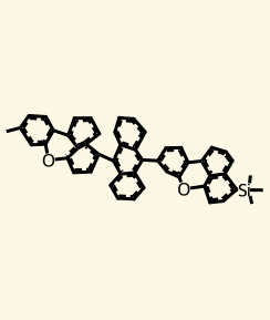 Cc1ccc2c(c1)Oc1ccc(-c3c4ccccc4c(-c4ccc5c(c4)Oc4ccc([Si](C)(C)C)c6cccc-5c46)c4ccccc34)c3cccc-2c13